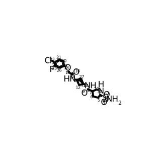 NS(=O)(=O)C1CCC(C(=O)NC23CC(NC(=O)COc4ccc(Cl)c(F)c4)(C2)C3)CN1